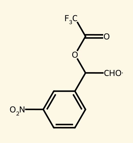 O=[C]C(OC(=O)C(F)(F)F)c1cccc([N+](=O)[O-])c1